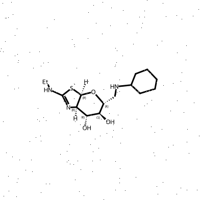 CCNC1=N[C@@H]2[C@@H](O)[C@H](O)[C@@H](CNC3CCCCC3)O[C@@H]2S1